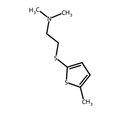 Cc1ccc(SCCN(C)C)s1